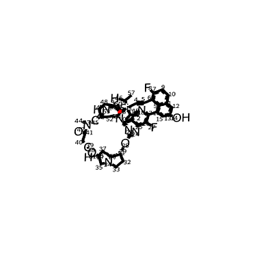 CC(C)[Si](C#Cc1c(F)ccc2cc(O)cc(-c3ncc4c5nc(nc4c3F)OC[C@]34CCCN3C[C@@H](C4)OCCC(=O)N(C)C[C@]34CC[C@H](CN5C3)N4)c12)(C(C)C)C(C)C